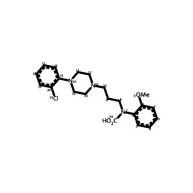 COc1ccccc1N(CCCN1CCN(c2ccccc2Cl)CC1)C(=O)O